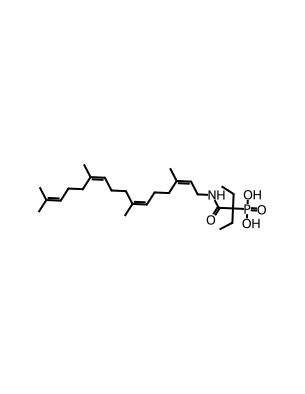 CCC(CC)(C(=O)NCC=C(C)CCC=C(C)CCC=C(C)CCC=C(C)C)P(=O)(O)O